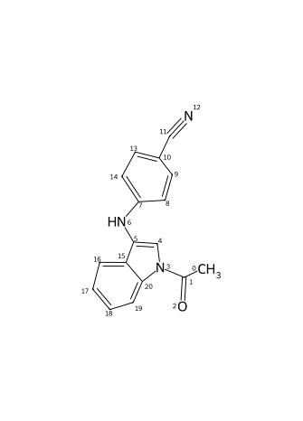 CC(=O)n1cc(Nc2ccc(C#N)cc2)c2ccccc21